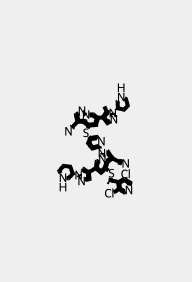 Cc1c(-c2cc(Sc3ccc(-[n+]4cc(C#N)c5c(S[C@H](C)c6c(Cl)cncc6Cl)cc(-c6cnn([C@H]7CCCNC7)c6)cn54)nc3)c3c(C#N)cnn3c2)cnn1[C@H]1CCCNC1